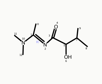 C/C(=N\C(=O)C(O)C(C)C)N(C)C